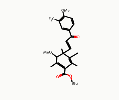 COc1ccc(C(=O)C=CC2(C)C(C)=C(C)C(C(=O)OC(C)(C)C)=C(C)C2OC)cc1C(F)(F)F